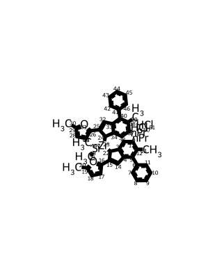 CCCc1cc2c(c(-c3ccccc3)c1C)C=C(c1ccc(C)o1)[CH]2[Zr]([CH]1C(c2ccc(C)o2)=Cc2c1cc(CCC)c(C)c2-c1ccccc1)=[Si](C)C.Cl.Cl